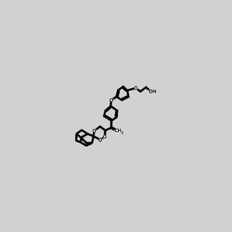 C=C(c1ccc(Oc2ccc(OCCO)cc2)cc1)C1COC2(OO1)C1CC3CC(C1)CC2C3